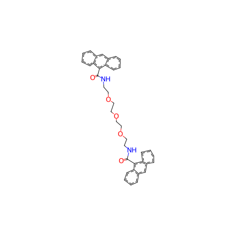 O=C(NCCOCCOCCOCCNC(=O)c1c2ccccc2cc2ccccc12)c1c2ccccc2cc2ccccc12